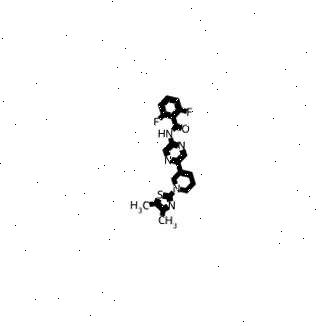 Cc1nc(N2CCC=C(c3cnc(NC(=O)c4c(F)cccc4F)cn3)C2)sc1C